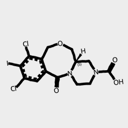 O=C(O)N1CCN2C(=O)c3cc(Cl)c(I)c(Cl)c3COC[C@@H]2C1